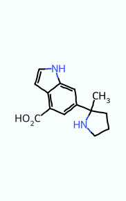 CC1(c2cc(C(=O)O)c3cc[nH]c3c2)CCCN1